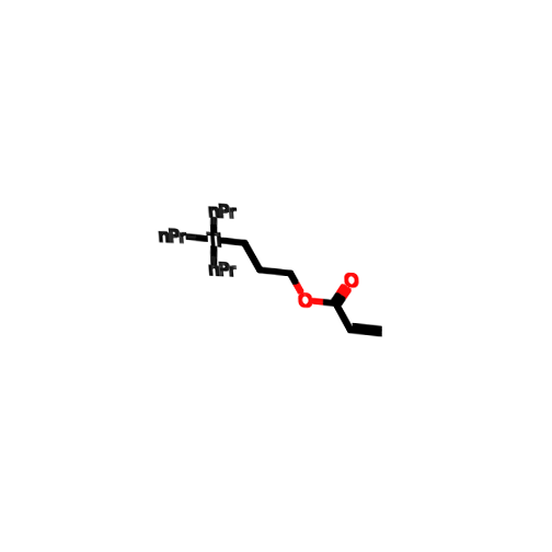 C=CC(=O)OCC[CH2][Ti]([CH2]CC)([CH2]CC)[CH2]CC